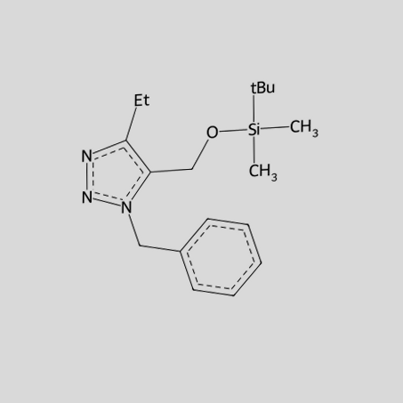 CCc1nnn(Cc2ccccc2)c1CO[Si](C)(C)C(C)(C)C